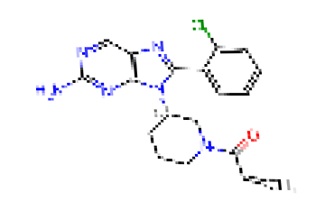 C=CC(=O)N1CCC[C@H](n2c(-c3ccccc3Cl)nc3cnc(N)nc32)C1